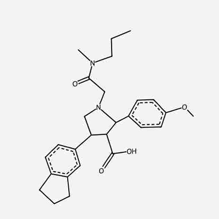 CCCN(C)C(=O)CN1CC(c2ccc3c(c2)CCC3)C(C(=O)O)C1c1ccc(OC)cc1